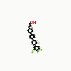 OCCCC1CCC(C2CCC(C3CCC(C4CC(F)C(F)C(F)C4)C(F)C3)CC2)CC1